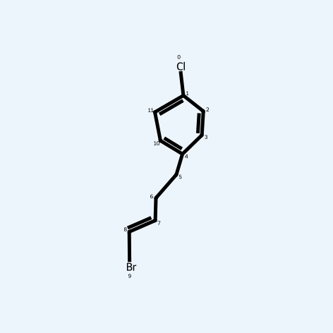 Clc1ccc(CCC=CBr)cc1